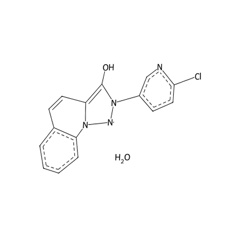 O.OC1=C2C=Cc3ccccc3N2[N]N1c1ccc(Cl)nc1